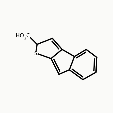 O=C(O)C1C=C2C(=Cc3ccccc32)S1